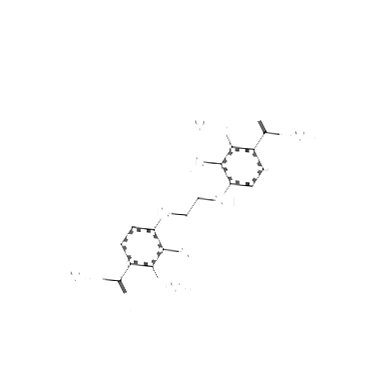 COC(=O)c1ccc(NCCNc2ccc(C(=O)OC)c(OC)c2[N+](=O)[O-])c([N+](=O)[O-])c1OC